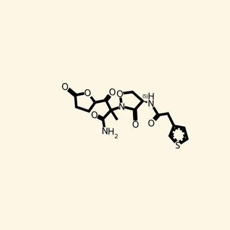 CC(C(N)=O)(C(=O)C1CCC(=O)O1)N1OC[C@H](NC(=O)Cc2ccsc2)C1=O